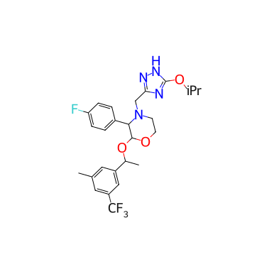 Cc1cc(C(C)OC2OCCN(Cc3n[nH]c(OC(C)C)n3)C2c2ccc(F)cc2)cc(C(F)(F)F)c1